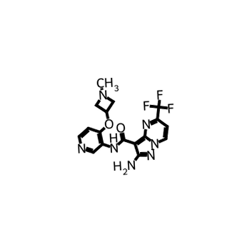 CN1CC(Oc2ccncc2NC(=O)c2c(N)nn3ccc(C(F)(F)F)nc23)C1